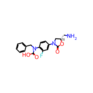 NC[C@H]1CN(c2ccc(N(Cc3ccccc3)C(=O)O)c(F)c2)C(=O)O1